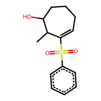 CC1C(S(=O)(=O)c2ccccc2)=CCCCC1O